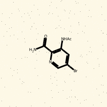 CC(=O)Nc1cc(Br)cnc1C(N)=O